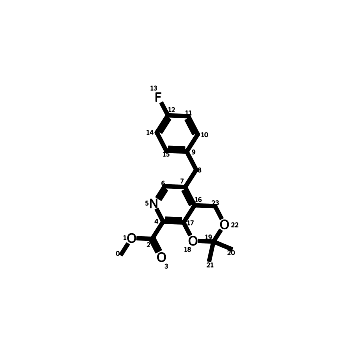 COC(=O)c1ncc(Cc2ccc(F)cc2)c2c1OC(C)(C)OC2